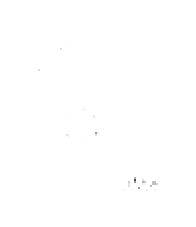 COOCc1ccc(O[C@@H](C)C[C@@H](C)O)cc1